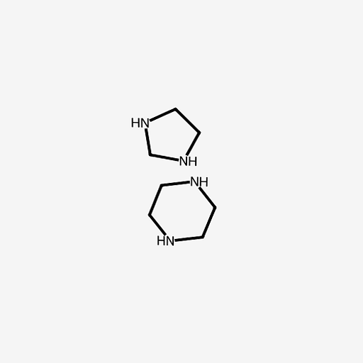 C1CNCCN1.C1CNCN1